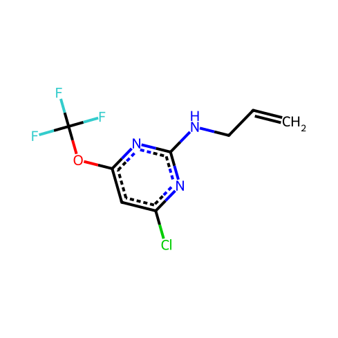 C=CCNc1nc(Cl)cc(OC(F)(F)F)n1